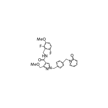 COCc1nn(Cc2ccc(Cn3ccccc3=O)cc2)cc1C(=O)NCc1c(F)ccc(OC)c1F